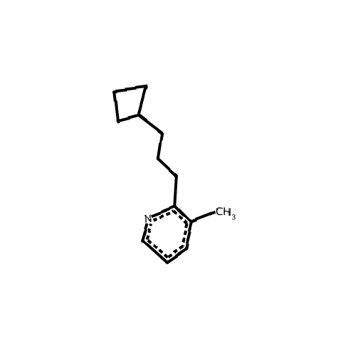 Cc1cccnc1CCCC1CCC1